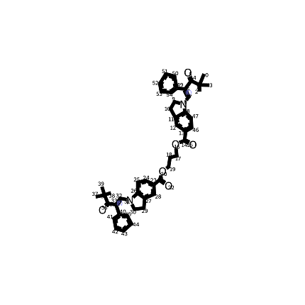 CC(C)(C)C(=O)/C(=C/N1CCc2cc(C(=O)OCCCOC(=O)c3ccc4c(c3)CCN4/C=C(/C(=O)C(C)(C)C)c3ccccc3)ccc21)c1ccccc1